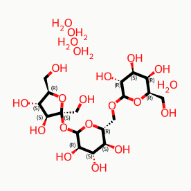 O.O.O.O.O.OC[C@H]1OC(OC[C@H]2OC(O[C@]3(CO)O[C@H](CO)[C@@H](O)[C@@H]3O)[C@H](O)[C@@H](O)[C@@H]2O)[C@H](O)[C@@H](O)[C@H]1O